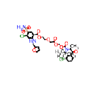 CC(C(=O)c1cccc(Cl)c1)N(C(=O)OCOC(=O)COCCOC(=O)c1cc(S(N)(=O)=O)c(Cl)cc1NCc1ccco1)C(C)(C)C